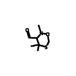 CN1OCSC(C)(C)C1C=O